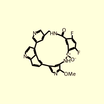 COc1ncc2cc1N[S+]([O-])c1cc(c(F)cc1F)C(=O)NCc1cncc(c1)-c1ccnc3ccc-2cc13